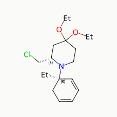 CCOC1(OCC)CCN([C@@]2(CC)C=CC=CC2)[C@H](CCl)C1